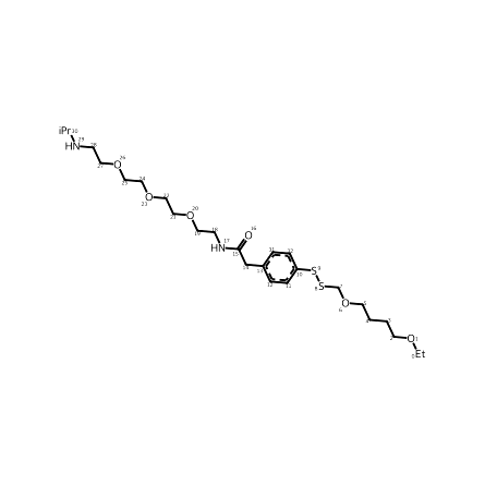 CCOCCCCOCSSc1ccc(CC(=O)NCCOCCOCCOCCNC(C)C)cc1